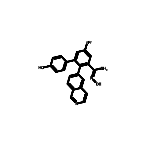 CCCc1cc(C(N)=NO)c(-c2ccc3cnccc3c2)c(-c2ccc(O)cc2)c1